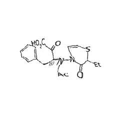 CCC1SC=CN(N(C(C)=O)[C@@H](Cc2ccccc2)C(=O)C(=O)O)C1=O